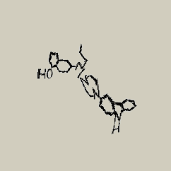 CCCN(CCN1CCN(c2ccc3[nH]c4ccccc4c3c2)CC1)C1CCc2c(O)cccc2C1